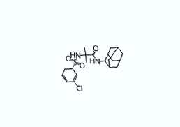 CC(C)(NS(=O)(=O)c1cccc(Cl)c1)C(=O)NC1C2CC3CC(C2)CC1C3